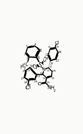 Cc1ccccc1S(=O)(=O)N1C(c2cccc(Cl)c2)C(C(N)=O)=CC[C@H]1c1ccc(Cl)cc1